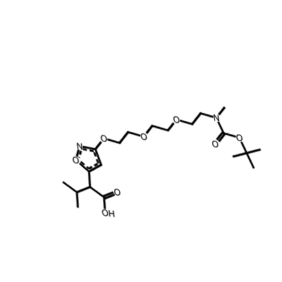 CC(C)C(C(=O)O)c1cc(OCCOCCOCCN(C)C(=O)OC(C)(C)C)no1